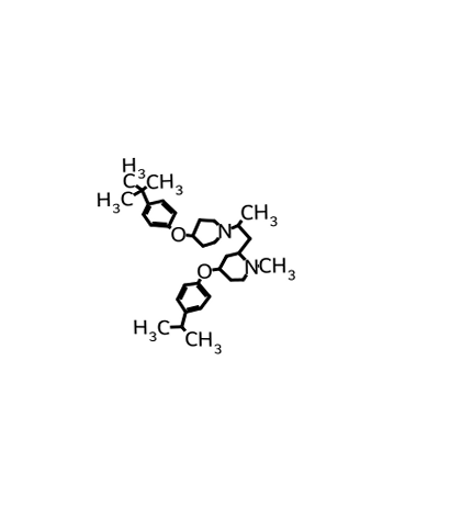 CC(C)c1ccc(OC2CCN(C)C(CC(C)N3CCC(Oc4ccc(C(C)(C)C)cc4)CC3)C2)cc1